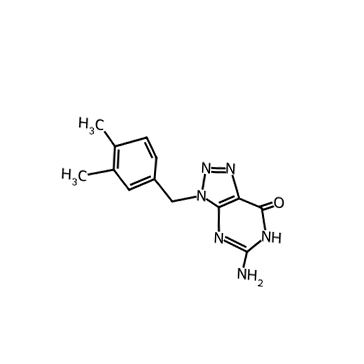 Cc1ccc(Cn2nnc3c(=O)[nH]c(N)nc32)cc1C